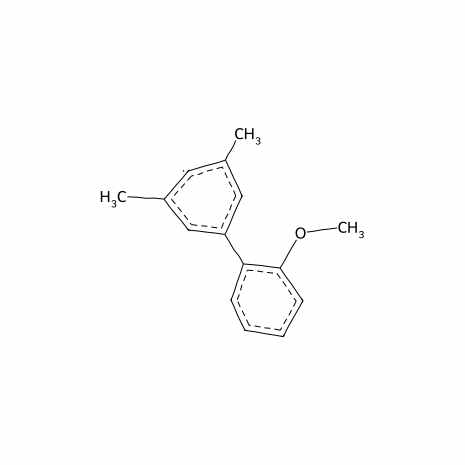 COc1ccccc1-c1cc(C)[c]c(C)c1